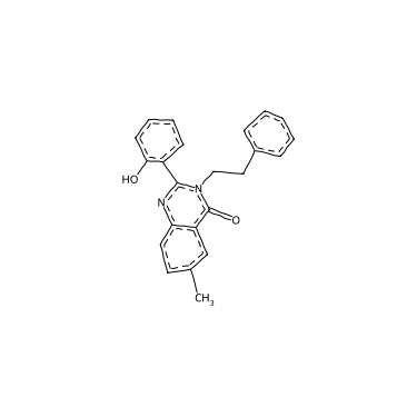 Cc1ccc2nc(-c3ccccc3O)n(CCc3ccccc3)c(=O)c2c1